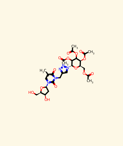 CC(=O)OC[C@H]1O[C@H](n2cc(Cn3c(=O)c(C)cn([C@H]4C[C@@H](O)[C@@H](CO)O4)c3=O)nn2)C(OC(C)=O)C(OC(C)=O)[C@H]1OC(C)=O